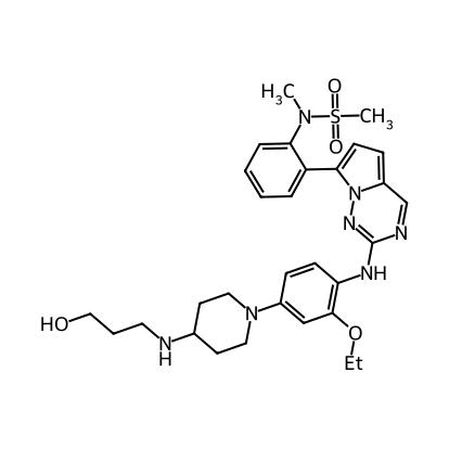 CCOc1cc(N2CCC(NCCCO)CC2)ccc1Nc1ncc2ccc(-c3ccccc3N(C)S(C)(=O)=O)n2n1